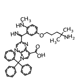 CNc1ccc(OCCCC(C)(C)N)cc1C(=N)c1cnc2c(n1)c(C(=O)O)cn2C(c1ccccc1)(c1ccccc1)c1ccccc1